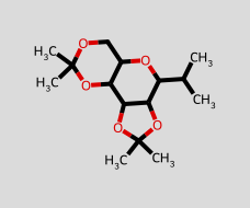 CC(C)C1OC2COC(C)(C)OC2C2OC(C)(C)OC12